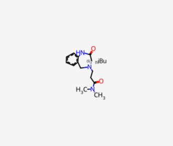 CC[C@H](C)[C@H]1C(=O)Nc2ccccc2CN1CCC(=O)N(C)C